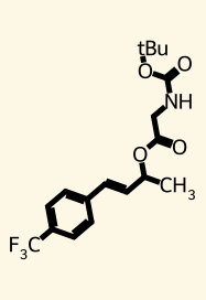 CC(C=Cc1ccc(C(F)(F)F)cc1)OC(=O)CNC(=O)OC(C)(C)C